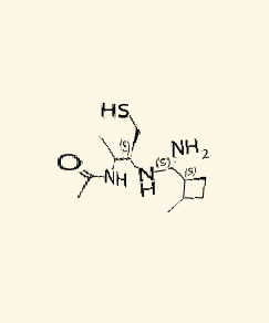 CC(=O)NC(C)[C@@H](CS)N[C@H](N)[C@H]1CCC1C